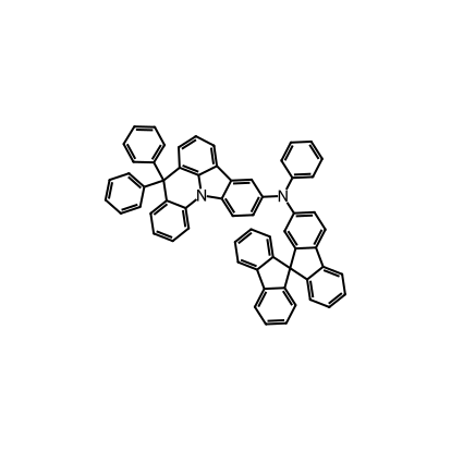 c1ccc(N(c2ccc3c(c2)C2(c4ccccc4-c4ccccc42)c2ccccc2-3)c2ccc3c(c2)c2cccc4c2n3-c2ccccc2C4(c2ccccc2)c2ccccc2)cc1